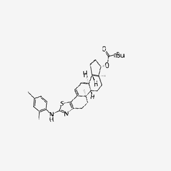 CCCCC(=O)O[C@H]1CC[C@H]2[C@@H]3CC=C4c5sc(Nc6ccc(C)cc6C)nc5CC[C@]4(C)[C@H]3CC[C@]12C